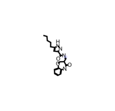 CCCCCc1cc(C(=O)/N=C\C2COc3ccccc3N(C)C2=O)n[nH]1